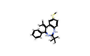 CSc1ccc2c(c1)C(=C(C)C)C(c1ccccc1)=NC(C(C)(C)C)=N2